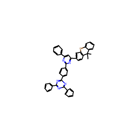 CC1(C)c2ccccc2Sc2cc(-c3cc(-c4ccccc4)nc(-c4ccc(-c5nc(-c6ccccc6)nc(-c6ccccc6)n5)cc4)n3)ccc21